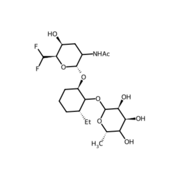 CC[C@@H]1CCC[C@@H](O[C@@H]2O[C@@H](C(F)F)[C@@H](O)CC2NC(C)=O)C1OC1O[C@@H](C)C(O)[C@H](O)[C@@H]1O